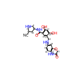 N#CC1CNCC(NC(=O)c2cc(CNc3ccc4c(c3)OCC(=O)N4)c(O)cc2O)C1